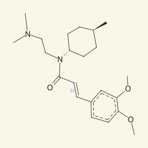 COc1ccc(/C=C/C(=O)N(CCN(C)C)[C@H]2CC[C@H](C)CC2)cc1OC